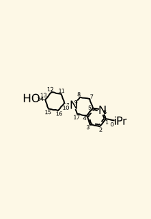 CC(C)c1ccc2c(n1)CCN([C@H]1CC[C@@H](O)CC1)C2